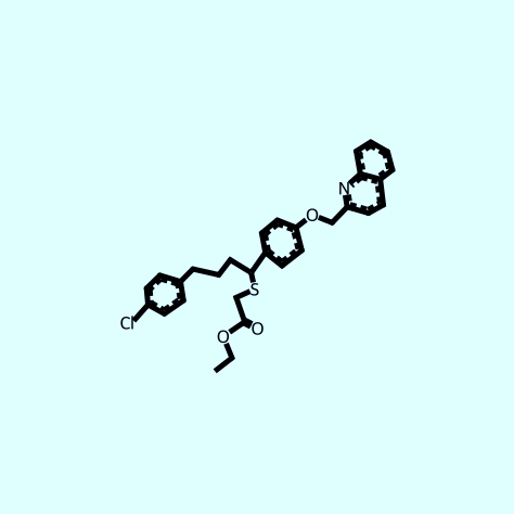 CCOC(=O)CSC(CCCc1ccc(Cl)cc1)c1ccc(OCc2ccc3ccccc3n2)cc1